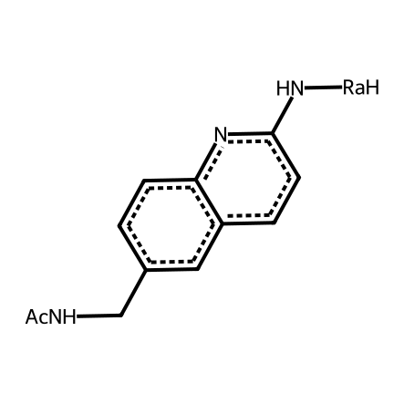 CC(=O)NCc1ccc2nc([NH][RaH])ccc2c1